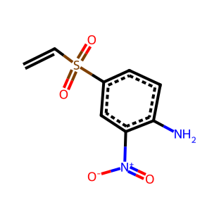 C=CS(=O)(=O)c1ccc(N)c([N+](=O)[O-])c1